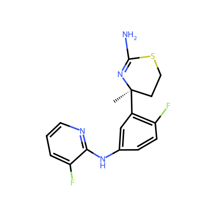 C[C@@]1(c2cc(Nc3ncccc3F)ccc2F)CCSC(N)=N1